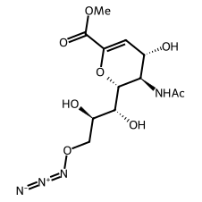 COC(=O)C1=C[C@H](O)[C@@H](NC(C)=O)[C@H]([C@H](O)[C@H](O)CON=[N+]=[N-])O1